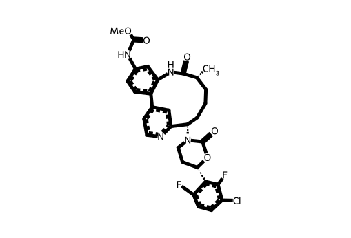 COC(=O)Nc1ccc2c(c1)NC(=O)[C@H](C)CCC[C@H](N1CC[C@@H](c3c(F)ccc(Cl)c3F)OC1=O)c1cc-2ccn1